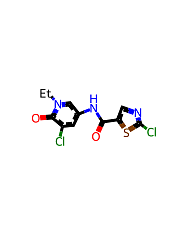 CCn1cc(NC(=O)c2cnc(Cl)s2)cc(Cl)c1=O